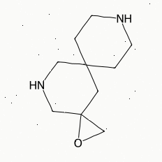 C1CC2(CCN1)CNCC1(CO1)C2